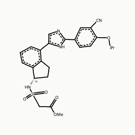 COC(=O)CS(=O)(=O)N[C@H]1CCc2c(-c3cnc(-c4ccc(OC(C)C)c(C#N)c4)[nH]3)cccc21